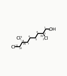 OC[C@@H](Cl)CCCC[C@@H](Cl)CCl